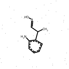 CC(C=NO)c1ccccc1N